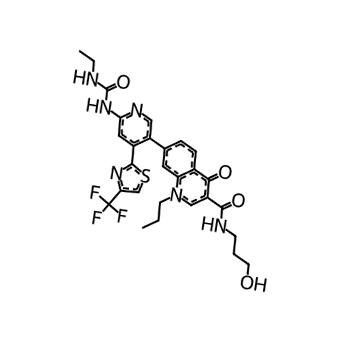 CCCn1cc(C(=O)NCCCO)c(=O)c2ccc(-c3cnc(NC(=O)NCC)cc3-c3nc(C(F)(F)F)cs3)cc21